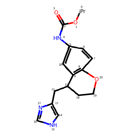 CC(C)OC(=O)Nc1ccc2c(c1)C(Cc1c[nH]cn1)CCO2